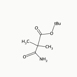 CC(C)(C)OC(=O)C(C)(C)C(N)=O